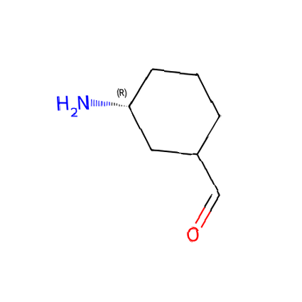 N[C@@H]1CCCC(C=O)C1